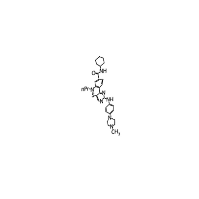 CCCN1Sc2cnc(Nc3ccc(N4CCN(C)CC4)cc3)nc2-c2ccc(C(=O)NC3CCCCC3)cc21